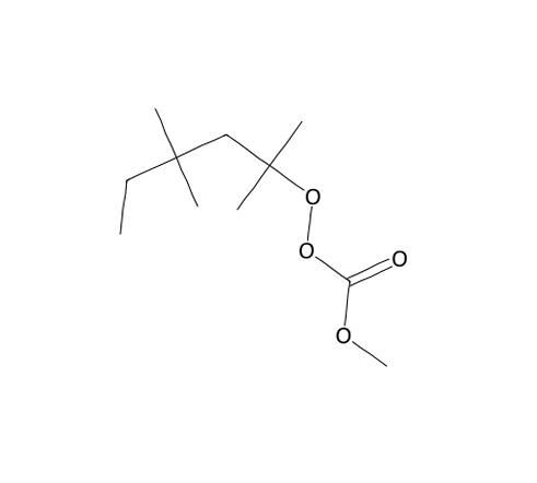 CCC(C)(C)CC(C)(C)OOC(=O)OC